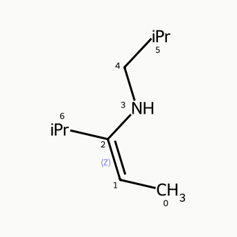 C/C=C(\NCC(C)C)C(C)C